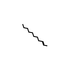 CC=CCCCCCCCC